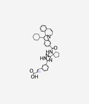 O=C(O)/C=C/c1cccc(-c2nc(C3(NC(=O)c4ccc5c(C6CCCCC6)c6n(c5c4)CC=Cc4ccccc4-6)CCCC3)n[nH]2)c1